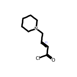 O=C(Cl)/C=C/CN1CCCCC1